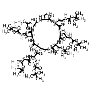 CC[C@@H]1NC(O)[C@@H](CC(C)C)NC(=O)[C@H](CCNC(=O)OC(C)(C)C)NC(=O)[C@@H](NC(=O)[C@H](CNC(=O)OC(C)(C)C)NC(=O)C[C@@H](C)OC(C)(C)C)CCNC(=O)[C@H]([C@@H](C)OC(C)(C)C)NC(=O)[C@H](CCNC(=O)OC(C)(C)C)NC(=O)[C@H](CCNC(=O)OC(C)(C)C)NC1=O